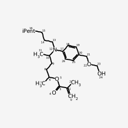 C=C(C)C(=O)OC(C)CCC(C)N(CCCC(C)CCC)c1ccc(COCO)cc1